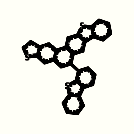 c1ccc2c(c1)sc1cc3c(cc12)c(-c1cccc2c1sc1ccccc12)cc1cc2sccc2cc13